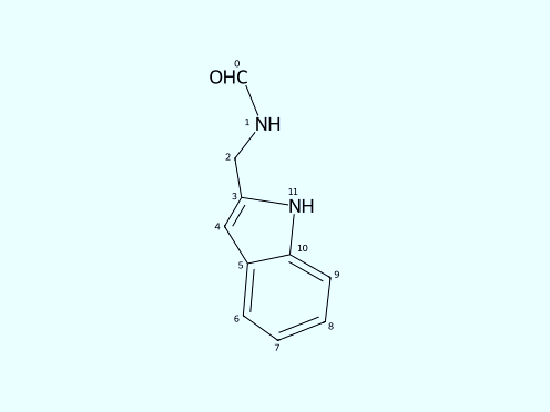 O=CNCc1cc2ccccc2[nH]1